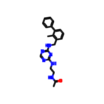 CC(=O)NCCNc1ncnc(NCc2cccc(-c3ccccc3)c2C)n1